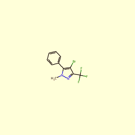 Cn1nc(C(F)(F)F)c(Br)c1-c1ccccc1